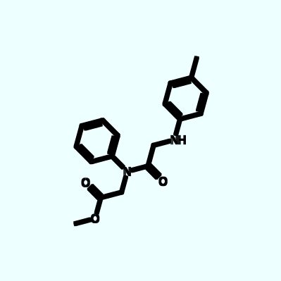 COC(=O)CN(C(=O)CNc1ccc(C)cc1)c1ccccc1